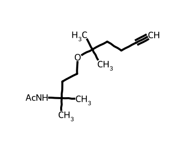 C#CCCC(C)(C)OCCC(C)(C)NC(C)=O